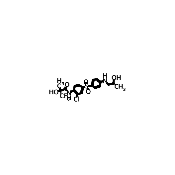 CC(O)CNc1ccc(S(=O)(=O)c2ccc(NC(=O)[C@@](C)(O)C(F)(F)F)c(Cl)c2)cc1